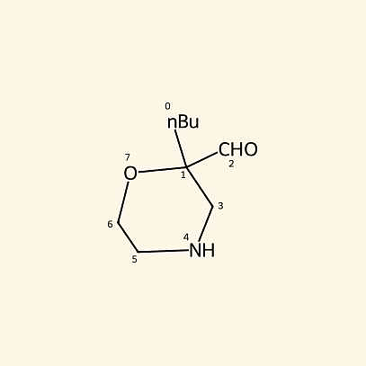 CCCCC1(C=O)CNCCO1